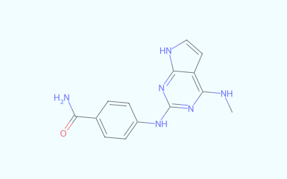 CNc1nc(Nc2ccc(C(N)=O)cc2)nc2[nH]ccc12